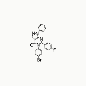 O=c1c2cnn(-c3ccccc3)c2nc(-c2ccc(F)cc2)n1-c1ccc(Br)cc1